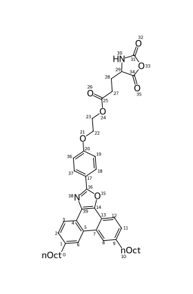 CCCCCCCCc1ccc2c(c1)c1cc(CCCCCCCC)ccc1c1oc(-c3ccc(OCCOC(=O)CCC4NC(=O)OC4=O)cc3)nc21